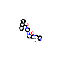 CC1CC2(CCCN(C3CCN(C(=O)c4c5ccccc5cc5ccccc45)CC3)C2)C(=O)N1Cc1ccncc1